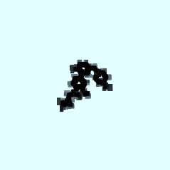 CC(=O)N1CCN(Cc2ccc(F)c(-c3ccc4c(c3)N(C)SN4CC3CC3(F)F)c2)CC1